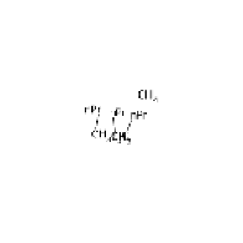 C.CCCC.CCCC.CCCC